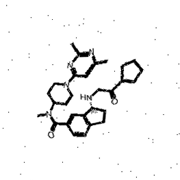 Cc1cc(N2CCC(N(C)C(=O)c3ccc4c(c3)[C@H](NCC(=O)C3CCCC3)CC4)CC2)nc(C)n1